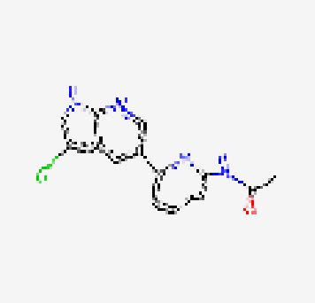 CC(=O)Nc1cccc(-c2cnc3[nH]cc(Cl)c3c2)n1